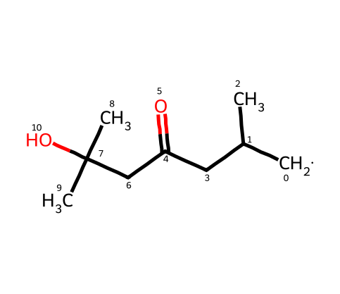 [CH2]C(C)CC(=O)CC(C)(C)O